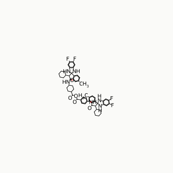 Cc1ccc(C2(C(C(=O)Nc3ccc(C(=O)OC(=O)C4CCC(NC(=O)C(C5CCCCC5)C5(c6ccc(C)cc6)Nc6cc(F)c(F)cc6N5)CC4)cc3)C3CCCCC3)Nc3cc(F)c(F)cc3N2)cc1